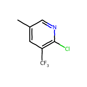 Cc1cnc(Cl)c(C(F)(F)F)c1